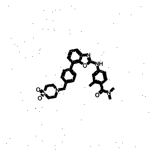 Cc1cc(Nc2nc3cccc(-c4ccc(CN5CCS(=O)(=O)CC5)cc4)c3o2)ccc1C(=O)N(C)C